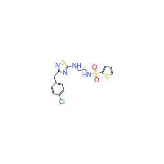 O=S(=O)(NCCNc1nc(Cc2ccc(Cl)cc2)ns1)c1cccs1